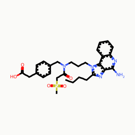 CCCCc1nc2c(N)nc3ccccc3c2n1CCCN(Cc1ccc(CC(=O)O)cc1)C(=O)CS(C)(=O)=O